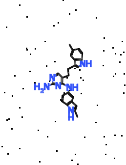 Cc1ccc2[nH]cc(CCc3cnc(N)nc3Nc3ccc4[nH]c(C)cc4c3)c2c1